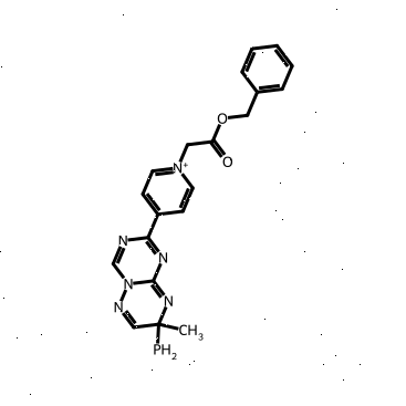 CC1(P)C=NN2C=NC(c3cc[n+](CC(=O)OCc4ccccc4)cc3)=NC2=N1